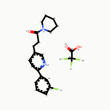 O=C(CCc1ccc(-c2cccc(F)c2)nc1)N1CCCCC1.O=C(O)C(F)(F)F